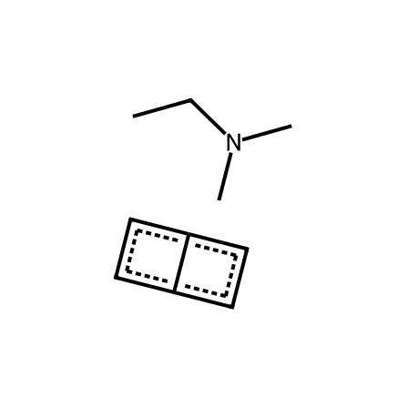 CCN(C)C.c1cc2ccc1-2